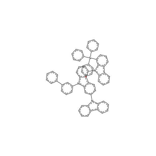 c1ccc(-c2cccc(-n3c4cc(-n5c6ccccc6c6ccccc65)ccc4c4c(-n5c6ccccc6c6cccc([Si](c7ccccc7)(c7ccccc7)c7ccccc7)c65)cccc43)c2)cc1